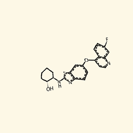 O[C@@H]1CCCC[C@H]1Nc1nc2ccc(Oc3ccnc4cc(F)ccc34)cc2s1